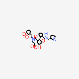 COc1cccc(CCN(CCC(=O)O)C(=O)c2ccccc2-c2ccccc2C(=O)NCc2cccnc2)c1OC